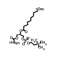 CCCCCCCCCCCCCCCCCCC(=O)O[C@H](COC(=O)CCCCCCC)COP(=O)([O-])OCC[N+](C)(C)C